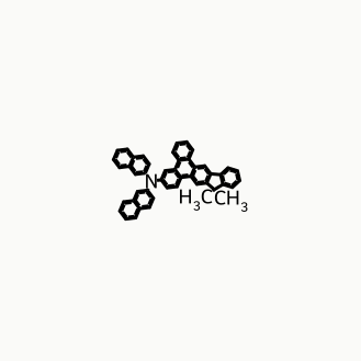 CC1(C)c2ccccc2-c2cc3c4ccccc4c4cc(N(c5ccc6ccccc6c5)c5ccc6ccccc6c5)ccc4c3cc21